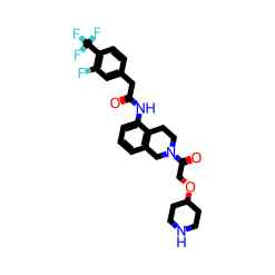 O=C(Cc1ccc(C(F)(F)F)c(F)c1)Nc1cccc2c1CCN(C(=O)COC1CCNCC1)C2